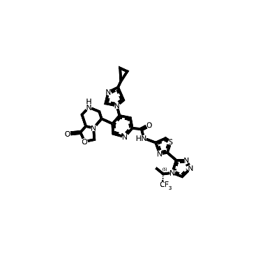 C[C@H](n1cnnc1-c1nc(NC(=O)c2cc(-n3cnc(C4CC4)c3)c(C3CNCC4C(=O)OCN43)cn2)cs1)C(F)(F)F